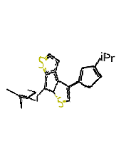 C[C](C)=[Zr][C]1=c2sccc2=C2C(C3=CC(C(C)C)=CC3)=CSC21